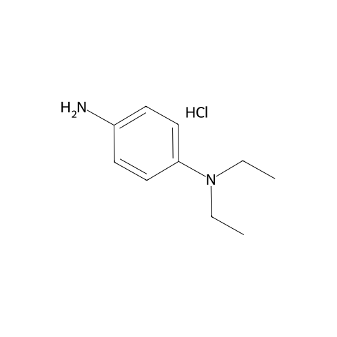 CCN(CC)c1ccc(N)cc1.Cl